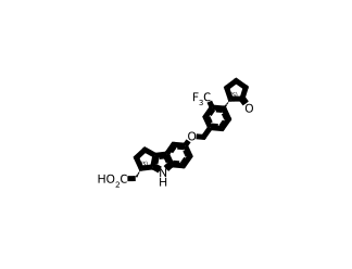 O=C(O)C[C@@H]1CCc2c1[nH]c1ccc(OCc3ccc([C@@H]4CCCC4=O)c(C(F)(F)F)c3)cc21